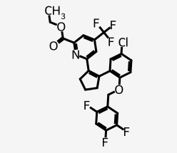 CCOC(=O)c1cc(C(F)(F)F)cc(C2=C(c3cc(Cl)ccc3OCc3cc(F)c(F)cc3F)CCC2)n1